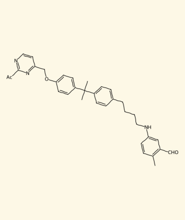 CC(=O)c1nccc(COc2ccc(C(C)(C)c3ccc(CCCCNc4ccc(C)c(C=O)c4)cc3)cc2)n1